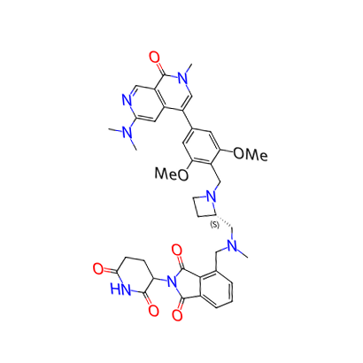 COc1cc(-c2cn(C)c(=O)c3cnc(N(C)C)cc23)cc(OC)c1CN1CC[C@H]1CN(C)Cc1cccc2c1C(=O)N(C1CCC(=O)NC1=O)C2=O